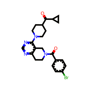 O=C(C1CC1)C1CCN(c2ncnc3c2CN(C(=O)c2ccc(Br)cc2)CC3)CC1